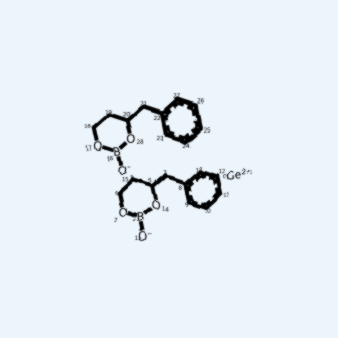 [Ge+2].[O-]B1OCCC(Cc2ccccc2)O1.[O-]B1OCCC(Cc2ccccc2)O1